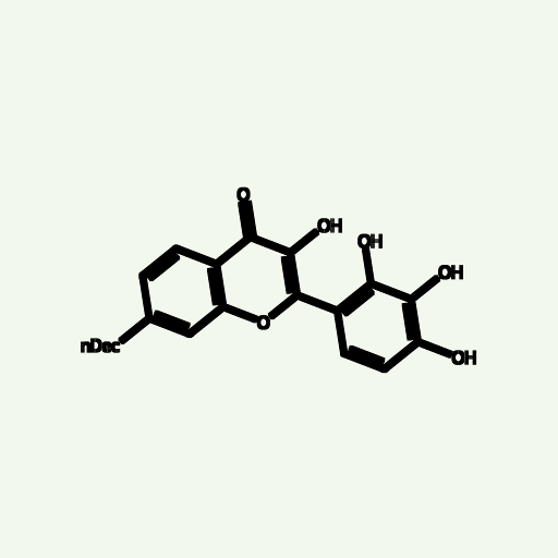 CCCCCCCCCCc1ccc2c(=O)c(O)c(-c3ccc(O)c(O)c3O)oc2c1